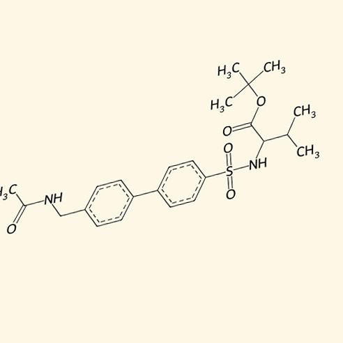 CC(=O)NCc1ccc(-c2ccc(S(=O)(=O)NC(C(=O)OC(C)(C)C)C(C)C)cc2)cc1